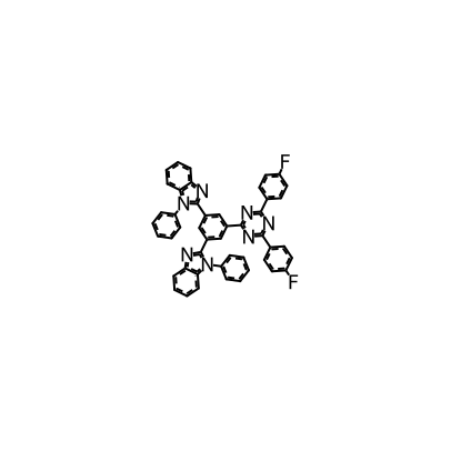 Fc1ccc(-c2nc(-c3ccc(F)cc3)nc(-c3cc(-c4nc5ccccc5n4-c4ccccc4)cc(-c4nc5ccccc5n4-c4ccccc4)c3)n2)cc1